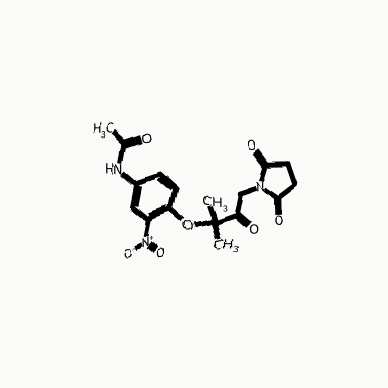 CC(=O)Nc1ccc(OC(C)(C)C(=O)CN2C(=O)CCC2=O)c([N+](=O)[O-])c1